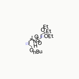 CCCCOC/C=C\[C@@H](C)NS(=O)(=O)/C=C/C(CC)(OCC)OCC